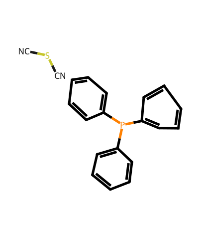 N#CSC#N.c1ccc(P(c2ccccc2)c2ccccc2)cc1